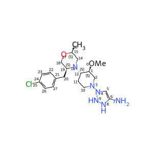 CO[C@H]1CN(N2C=C(N)NN2)CC[C@@H]1N1C[C@H](C)OC[C@@H]1Cc1ccc(Cl)cc1